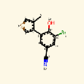 Cc1cscc1-c1cc(C#N)cc(Br)c1O